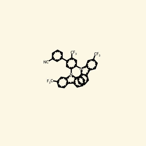 N#Cc1cccc(-c2cc(-n3c4ccccc4c4ccc(C(F)(F)F)cc43)c(-n3c4ccccc4c4ccc(C(F)(F)F)cc43)cc2C(F)(F)F)c1